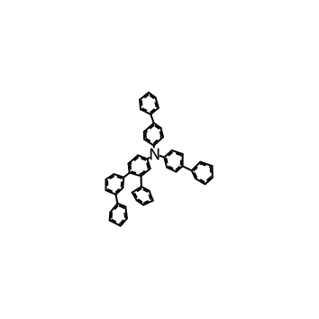 c1ccc(-c2ccc(N(c3ccc(-c4ccccc4)cc3)c3ccc(-c4cccc(-c5ccccc5)c4)c(-c4ccccc4)c3)cc2)cc1